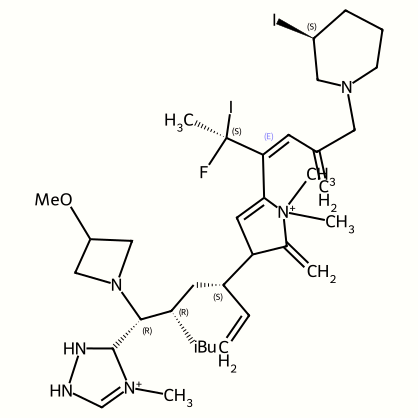 C=C[C@H](C[C@H](C(C)CC)[C@H](C1NNC=[N+]1C)N1CC(OC)C1)C1C=C(/C(=C\C(=C)CN2CCC[C@H](I)C2)[C@@](C)(F)I)[N+](C)(C)C1=C